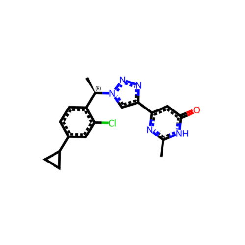 Cc1nc(-c2cn([C@H](C)c3ccc(C4CC4)cc3Cl)nn2)cc(=O)[nH]1